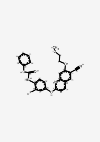 COCCOc1cc2nc(Oc3ccc(NC(=O)Oc4ccccc4)c(F)c3)ccc2cc1C#N